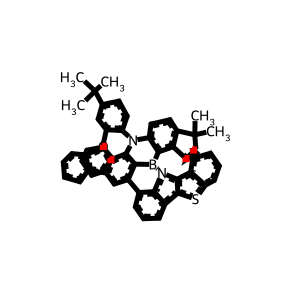 CC(C)(C)c1ccc(N2c3ccc4c(c3B3c5c(cc6c(oc7ccccc76)c52)-c2cccc5c6sc7ccccc7c6n3c25)-c2ccccc2C4(C)C)c(-c2ccccc2)c1